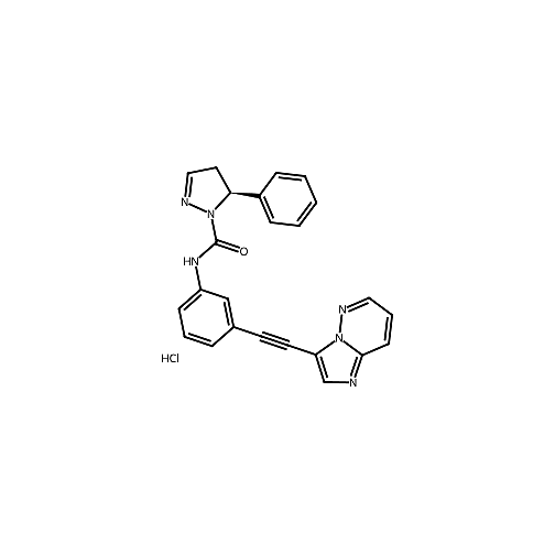 Cl.O=C(Nc1cccc(C#Cc2cnc3cccnn23)c1)N1N=CC[C@H]1c1ccccc1